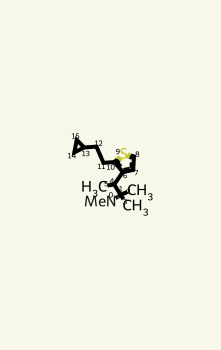 CNC(C)(C)C(C)c1ccsc1CCC1CC1